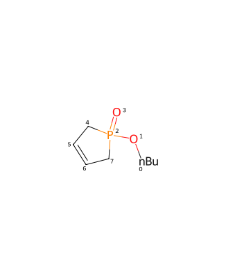 CCCCOP1(=O)CC=CC1